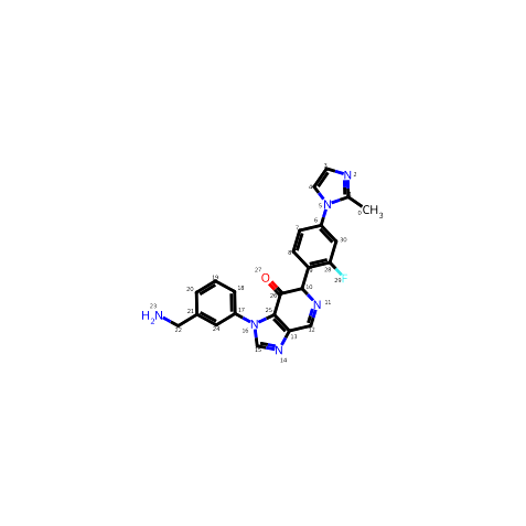 Cc1nccn1-c1ccc(C2N=Cc3ncn(-c4cccc(CN)c4)c3C2=O)c(F)c1